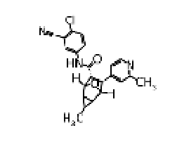 Cc1cc([C@@H]2[C@@H](C(=O)Nc3ccc(Cl)c(C#N)c3)[C@@H]3O[C@H]2C2C(C)C23)ccn1